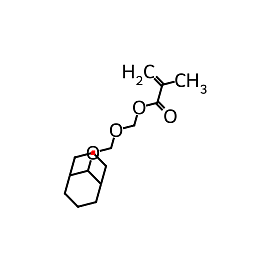 C=C(C)C(=O)OCOCOC1C2CCCC1CCC2